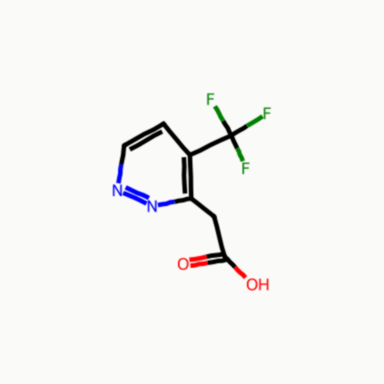 O=C(O)Cc1nnccc1C(F)(F)F